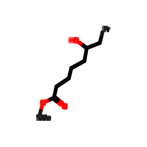 CNOC(=O)CCCCC(O)CC(C)C